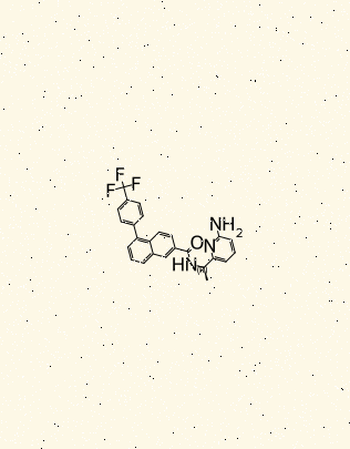 C[C@@H](NC(=O)c1ccc2c(-c3ccc(C(F)(F)F)cc3)cccc2c1)c1cccc(N)n1